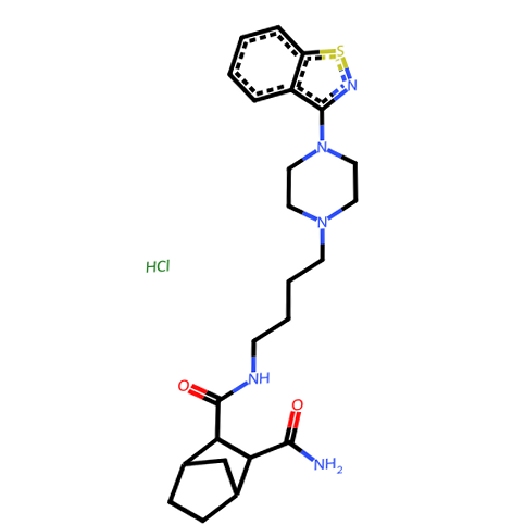 Cl.NC(=O)C1C2CCC(C2)C1C(=O)NCCCCN1CCN(c2nsc3ccccc23)CC1